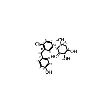 C[SH]1C[C@@H](O)[C@@H](O)[C@@H](O)[C@@H]1c1ccc(Cl)c(Cc2ccc(O)cc2)c1